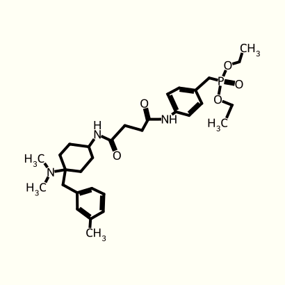 CCOP(=O)(Cc1ccc(NC(=O)CCC(=O)NC2CCC(Cc3cccc(C)c3)(N(C)C)CC2)cc1)OCC